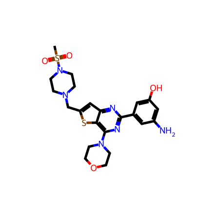 CS(=O)(=O)N1CCN(Cc2cc3nc(-c4cc(N)cc(O)c4)nc(N4CCOCC4)c3s2)CC1